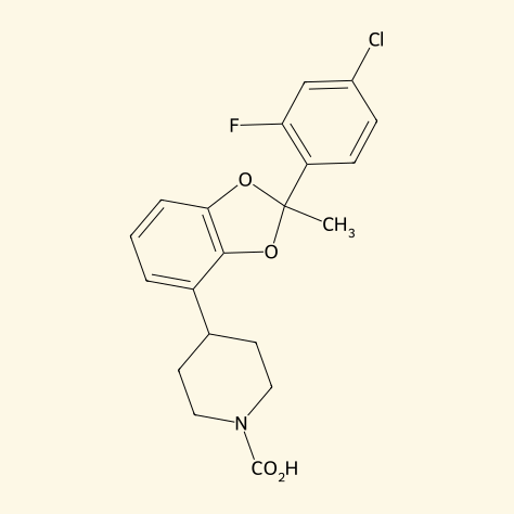 CC1(c2ccc(Cl)cc2F)Oc2cccc(C3CCN(C(=O)O)CC3)c2O1